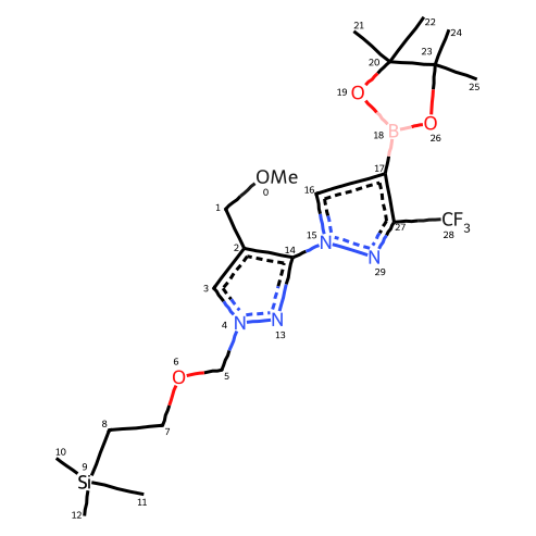 COCc1cn(COCC[Si](C)(C)C)nc1-n1cc(B2OC(C)(C)C(C)(C)O2)c(C(F)(F)F)n1